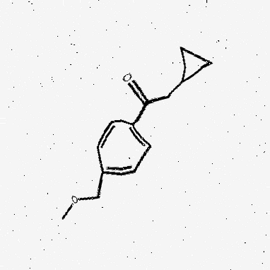 COCc1ccc(C(=O)CC2CC2)cc1